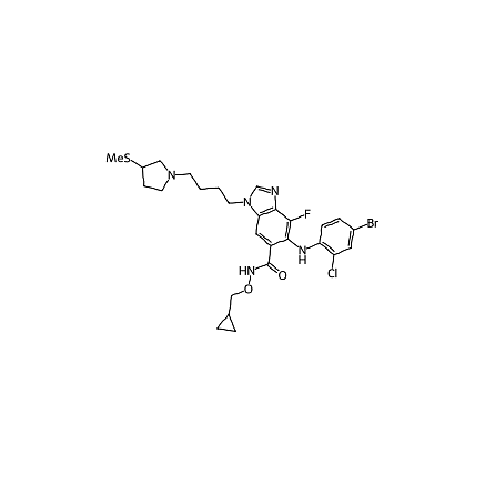 CSC1CCN(CCCCn2cnc3c(F)c(Nc4ccc(Br)cc4Cl)c(C(=O)NOCC4CC4)cc32)C1